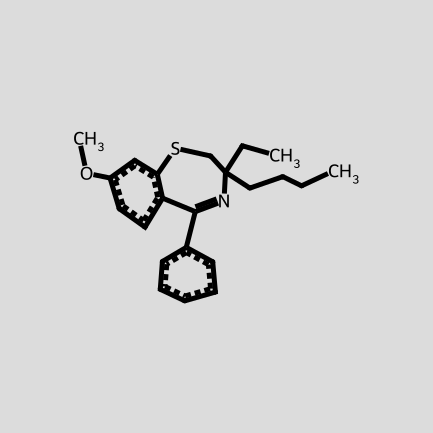 CCCCC1(CC)CSc2cc(OC)ccc2C(c2ccccc2)=N1